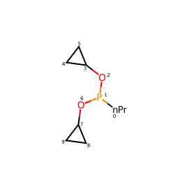 CCCP(OC1CC1)OC1CC1